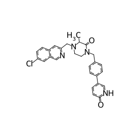 CC1C(=O)N(Cc2ccc(-c3ccc(=O)[nH]c3)cc2)CCN1Cc1cc2ccc(Cl)cc2cn1